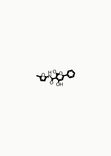 Cc1ccc(NC(=O)c2c(O)cc(-c3ccccc3)oc2=O)o1